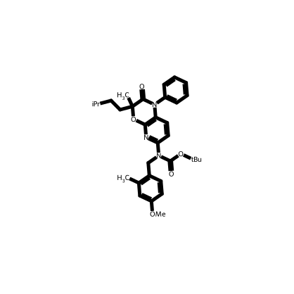 COc1ccc(CN(C(=O)OC(C)(C)C)c2ccc3c(n2)OC(C)(CCC(C)C)C(=O)N3c2ccccc2)c(C)c1